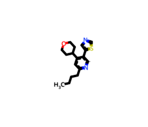 CCCCc1cc(C2CCOCC2)c(-c2cncs2)[c]n1